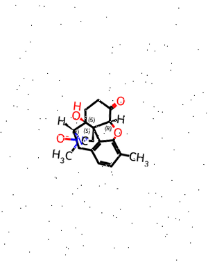 Cc1ccc2c3c1O[C@H]1C(=O)CC[C@@]4(O)[C@@H](C2)[N+](C)([O-])CC[C@]314